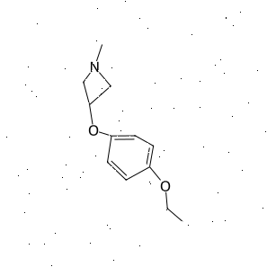 CCOc1ccc(OC2CN(C)C2)cc1